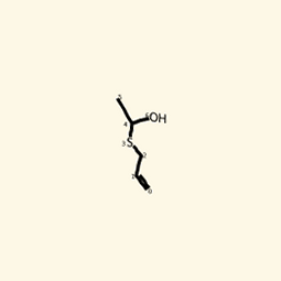 C=CCSC(C)O